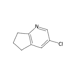 Clc1cnc2c(c1)CCC2